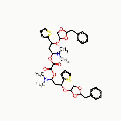 CN(C)C(CC(OC1COC(Cc2ccccc2)O1)c1cccs1)OC(=O)C(=O)OC(CC(OC1COC(Cc2ccccc2)O1)c1cccs1)N(C)C